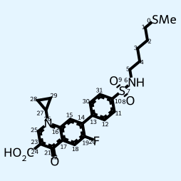 CSCCCCCNS(=O)(=O)c1ccc(-c2cc3c(cc2F)c(=O)c(C(=O)O)cn3C2CC2)cc1